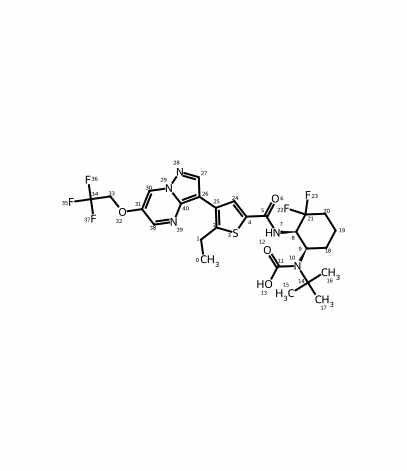 CCc1sc(C(=O)N[C@@H]2[C@H](N(C(=O)O)C(C)(C)C)CCCC2(F)F)cc1-c1cnn2cc(OCC(F)(F)F)cnc12